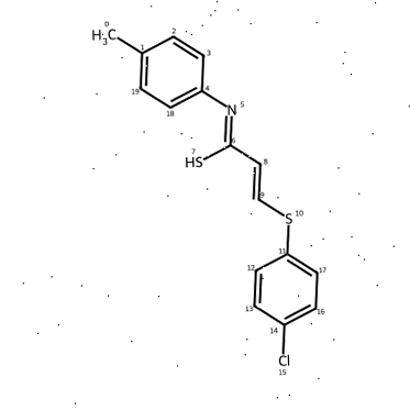 Cc1ccc(N=C(S)C=CSc2ccc(Cl)cc2)cc1